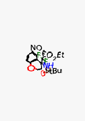 CCOC(=O)C(F)(F)[C@@]1(N[S@+]([O-])C(C)(C)C)CCOc2ccc([N+](=O)[O-])cc21